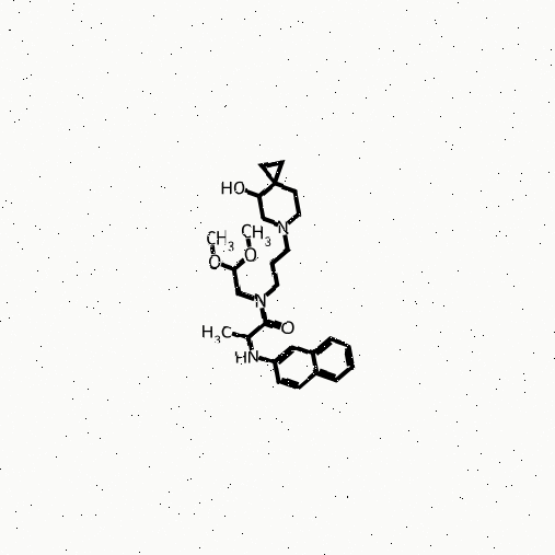 COC(CN(CCCN1CCC2(CC2)C(O)C1)C(=O)C(C)Nc1ccc2ccccc2c1)OC